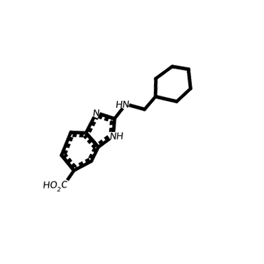 O=C(O)c1ccc2nc(NCC3CCCCC3)[nH]c2c1